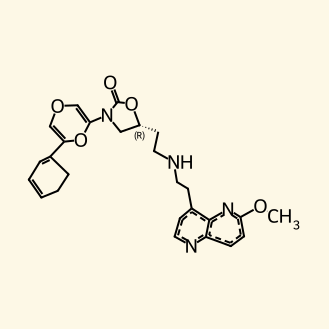 COc1ccc2nccc(CCNCC[C@@H]3CN(C4=COC=C(C5=CC=CCC5)O4)C(=O)O3)c2n1